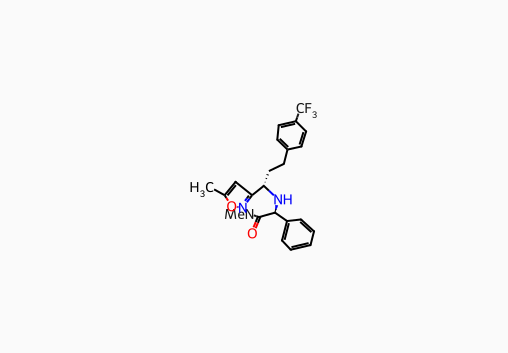 CNC(=O)[C@@H](N[C@@H](CCc1ccc(C(F)(F)F)cc1)c1cc(C)on1)c1ccccc1